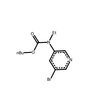 CCCCOC(=O)N(CC)c1cncc(Br)c1